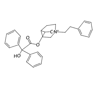 O=C(OC1C[N+]2(CCc3ccccc3)CCC1CC2)C(O)(c1ccccc1)c1ccccc1